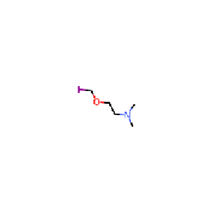 CN(C)CCOCI